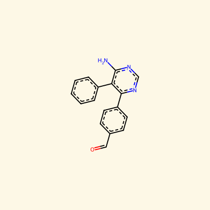 Nc1ncnc(-c2ccc(C=O)cc2)c1-c1ccccc1